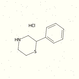 Cl.c1ccc(C2CNCCS2)cc1